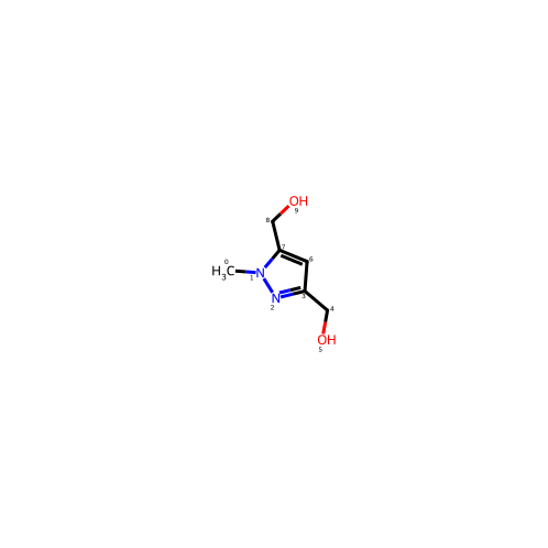 Cn1nc(CO)cc1CO